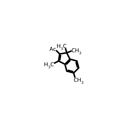 CC(=O)C1=C(C)c2cc(C)ccc2C1(C)C